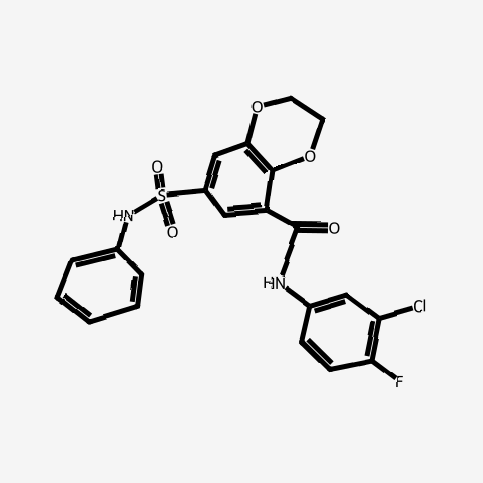 O=C(Nc1ccc(F)c(Cl)c1)c1cc(S(=O)(=O)Nc2ccccc2)cc2c1OCCO2